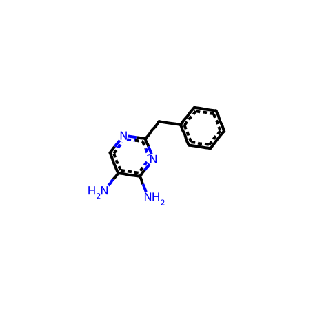 Nc1cnc(Cc2ccccc2)nc1N